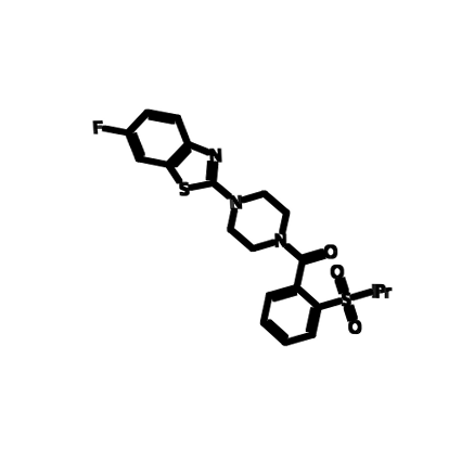 CC(C)S(=O)(=O)c1ccccc1C(=O)N1CCN(c2nc3ccc(F)cc3s2)CC1